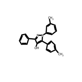 Cc1ccc(-c2c(O)c(-c3ccccc3)nn2-c2cccc(C)c2)cc1